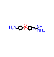 N=C(N)/C=C/c1ccc(OC(=O)[C@H]2CC[C@H](CN)CC2)cc1